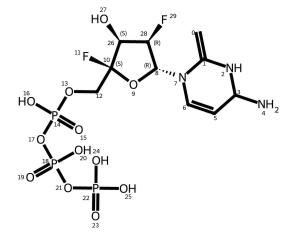 C=C1NC(N)C=CN1[C@@H]1O[C@](F)(COP(=O)(O)OP(=O)(O)OP(=O)(O)O)[C@@H](O)[C@H]1F